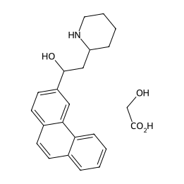 O=C(O)CO.OC(CC1CCCCN1)c1ccc2ccc3ccccc3c2c1